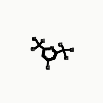 Clc1cc(C(Cl)(Cl)Cl)nc(C(Cl)(Cl)Cl)c1